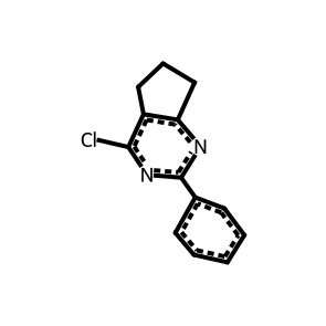 Clc1nc(-c2ccccc2)nc2c1CCC2